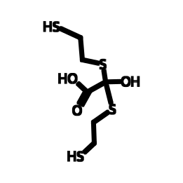 O=C(O)C(O)(SCCS)SCCS